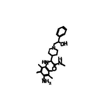 CNC(=O)C(Nc1c(C)c(C)c(N)c(C)c1C)C1CCN(CC(O)c2ccccc2)CC1